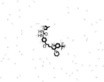 Cc1csc(NC(=O)Nc2ccc(C(=O)C=Cc3cc(N4CCCCC4)c4cc(C(F)(F)F)ccc4n3)cc2)c1